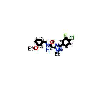 CCOc1cccc(CNC(=O)Cc2nc(-c3ccc(Cl)c(F)c3)nn2CC)c1